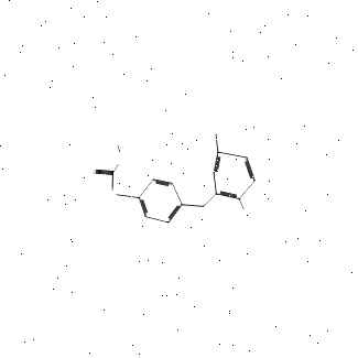 Cc1ccc(S(=O)(=O)O)c(Cc2ccc(OC(=O)OC(C)(C)C)cc2)c1